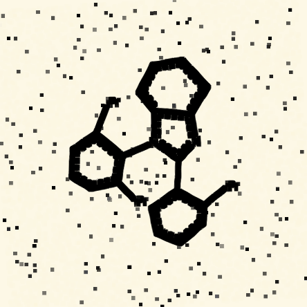 CC(C)c1ccccc1-c1nc2ccccc2n1-c1c(C(C)C)cccc1C(C)C